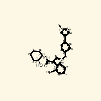 Cn1cc(-c2ccc(Cn3cc(C(=O)N[C@H]4CCCC[C@@H]4O)c4c(F)cccc43)cc2)cn1